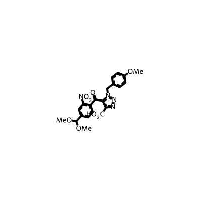 COc1ccc(Cn2nnc(C(=O)O)c2C(=O)c2ccc(C(OC)OC)cc2[N+](=O)[O-])cc1